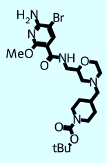 COc1nc(N)c(Br)cc1C(=O)NCC1CN(CC2CCN(C(=O)OC(C)(C)C)CC2)CCO1